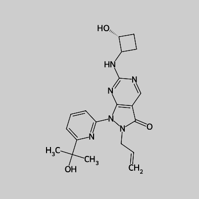 C=CCn1c(=O)c2cnc(NC3CC[C@H]3O)nc2n1-c1cccc(C(C)(C)O)n1